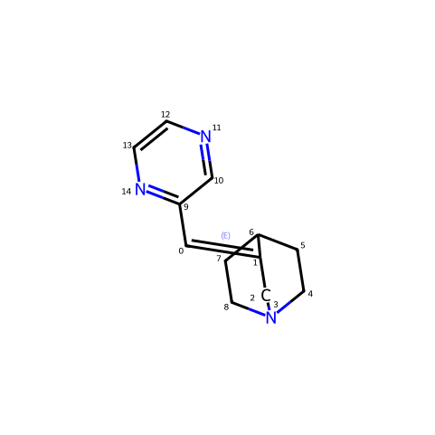 C(=C1\CN2CCC1CC2)/c1cnccn1